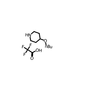 CCCCOC1CCNCC1.O=C(O)C(F)(F)F